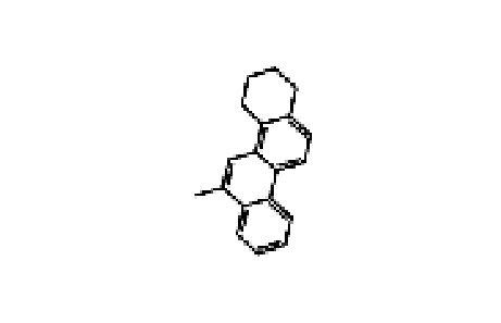 [CH2]c1cc2c3c(ccc2c2ccccc12)CCCC3